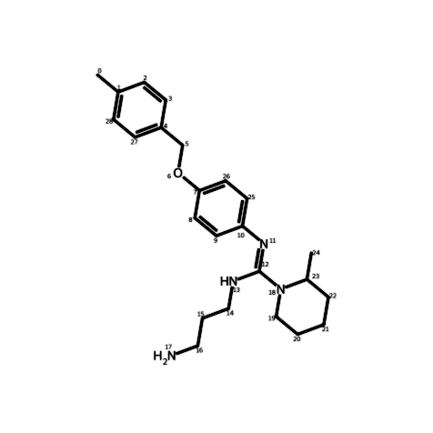 Cc1ccc(COc2ccc(/N=C(\NCCCN)N3CCCCC3C)cc2)cc1